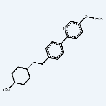 CCCCCCOc1ccc(-c2ccc(CC[C@H]3CC[C@H](CCCC)CC3)cc2)nc1